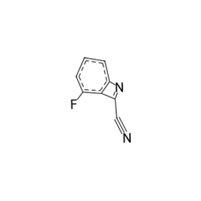 N#CC1=Nc2cccc(F)c21